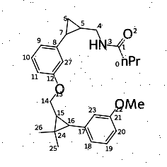 CCCC(=O)NCC1CC1c1cccc(OCC2C(c3cccc(OC)c3)C2(C)C)c1